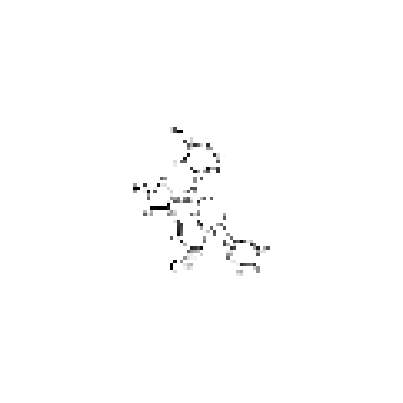 Fc1cncc([C@H](Oc2ccc(Cl)cc2Cc2ccccc2)[C@H]2CCNC2)c1